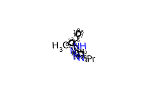 Cc1ccc(Cc2ccccc2)c(Nc2ncnc3nc(C(C)C)ccc23)c1